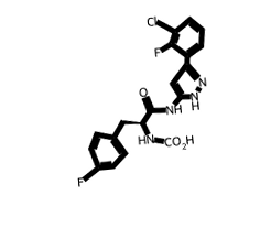 O=C(O)N[C@@H](Cc1ccc(F)cc1)C(=O)Nc1cc(-c2cccc(Cl)c2F)n[nH]1